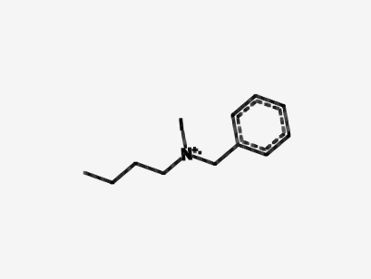 CCCC[N+](I)Cc1ccccc1